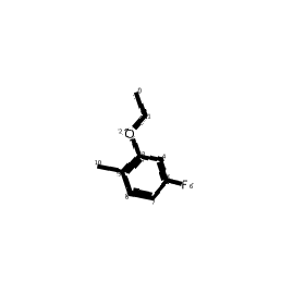 CCOc1cc(F)ccc1C